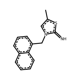 Cc1cn(Cc2cccc3ccccc23)c(=N)s1